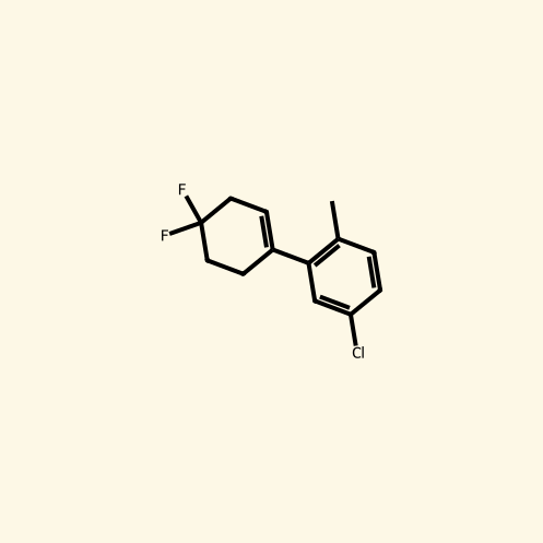 Cc1ccc(Cl)cc1C1=CCC(F)(F)CC1